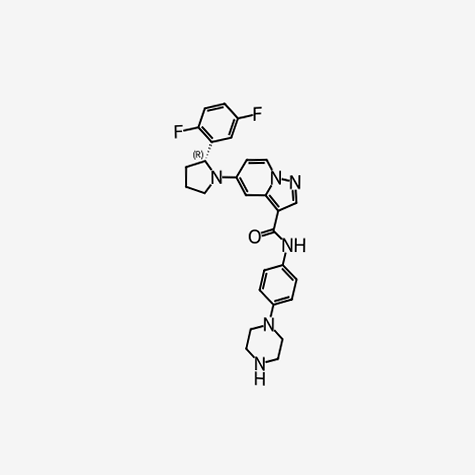 O=C(Nc1ccc(N2CCNCC2)cc1)c1cnn2ccc(N3CCC[C@@H]3c3cc(F)ccc3F)cc12